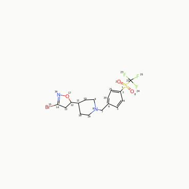 O=S(=O)(c1ccc(CN2CCC(C3CC(Br)=NO3)CC2)cc1)C(F)(F)F